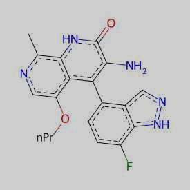 CCCOc1cnc(C)c2[nH]c(=O)c(N)c(-c3ccc(F)c4[nH]ncc34)c12